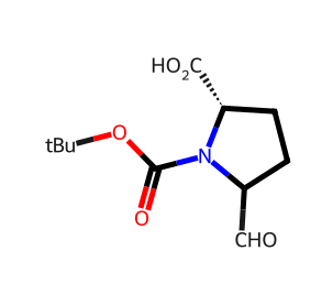 CC(C)(C)OC(=O)N1C(C=O)CC[C@H]1C(=O)O